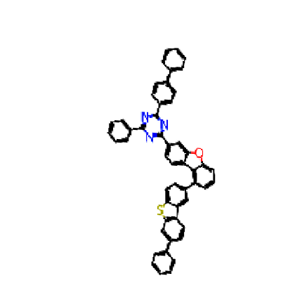 c1ccc(-c2ccc(-c3nc(-c4ccccc4)nc(-c4ccc5c(c4)oc4cccc(-c6ccc7sc8cc(-c9ccccc9)ccc8c7c6)c45)n3)cc2)cc1